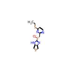 CCSc1ccnc(C[S+]([O-])c2nc3cscc3[nH]2)n1